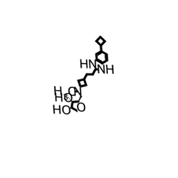 CN(C[C@H]1OC[C@H](O)[C@@H]1O)C1CC(CCC2Nc3ccc(C4CCC4)cc3N2)C1